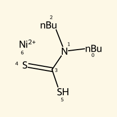 CCCCN(CCCC)C(=S)S.[Ni+2]